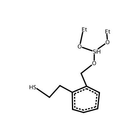 CCO[SiH](OCC)OCc1ccccc1CCS